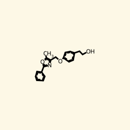 Cc1oc(-c2ccccc2)nc1COc1ccc(CCO)cc1